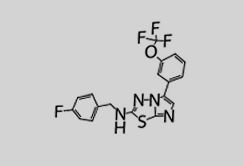 Fc1ccc(CNc2nn3c(-c4cccc(OC(F)(F)F)c4)cnc3s2)cc1